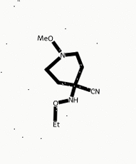 CCONC1(C#N)CCN(OC)CC1